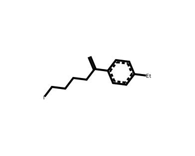 C=C(CCCCI)c1ccc(CC)cc1